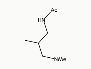 CNCC(C)CNC(C)=O